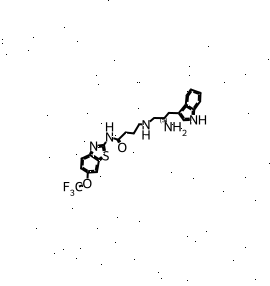 N[C@H](CNCCCC(=O)Nc1nc2ccc(OC(F)(F)F)cc2s1)Cc1c[nH]c2ccccc12